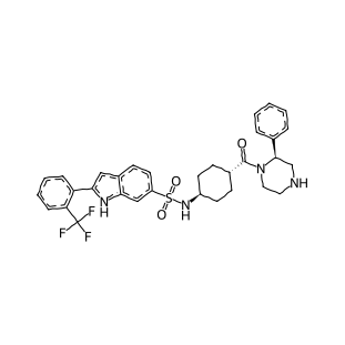 O=C([C@H]1CC[C@H](NS(=O)(=O)c2ccc3cc(-c4ccccc4C(F)(F)F)[nH]c3c2)CC1)N1CCNC[C@@H]1c1ccccc1